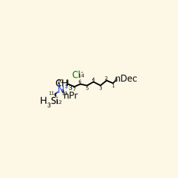 CCCCCCCCCCCCCCCCCC[N+](C)(C[SiH3])CCC.[Cl-]